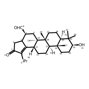 CC(C)C1=C2C(CC1=O)[C@@H](C=O)C[C@]1(C)[C@@H]2CC[C@@H]2[C@@]3(C)CC[C@H](O)C(C)(C)[C@@H]3CC[C@]21C